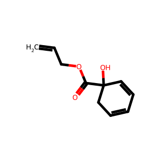 C=CCOC(=O)C1(O)C=CC=CC1